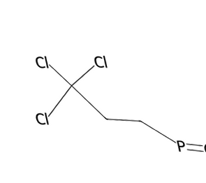 O=PCCC(Cl)(Cl)Cl